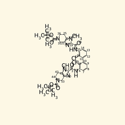 Cn1c(C(=O)Nc2cccc(-c3cccc(NC(=O)c4nc5c(n4C)CCN(C(=O)OC(C)(C)C)C5)c3Cl)c2Cl)nc2c1CCN(C(=O)OC(C)(C)C)C2